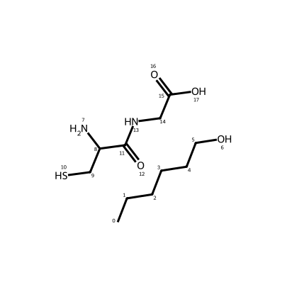 CCCCCCO.NC(CS)C(=O)NCC(=O)O